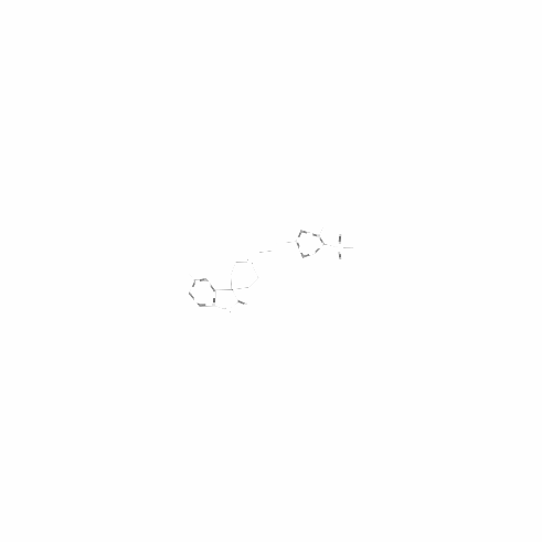 Cc1ccc2c(c1)C1(CCN(CCOc3ccc(S(C)(=O)=O)c(F)c3)CC1)C(=O)N2